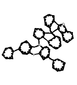 c1ccc(-c2ccc3c(c2)Sc2cc(-c4ccccc4)ccc2N3c2cccc3c2-c2ccccc2C32c3ccccc3-c3oc4ccccc4c32)cc1